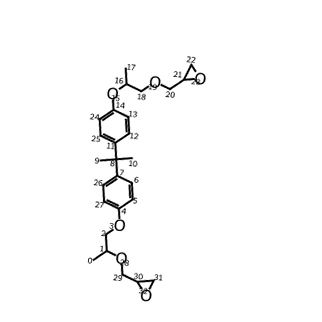 CC(COc1ccc(C(C)(C)c2ccc(OC(C)COCC3CO3)cc2)cc1)OCC1CO1